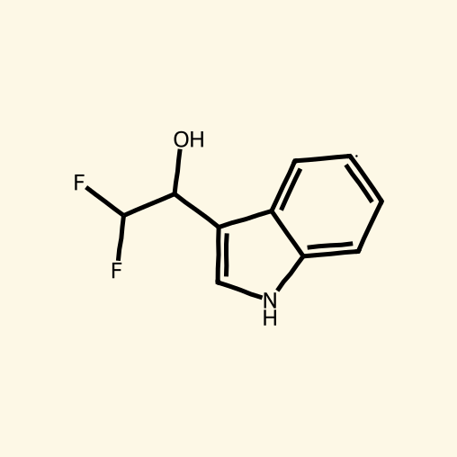 OC(c1c[nH]c2cc[c]cc12)C(F)F